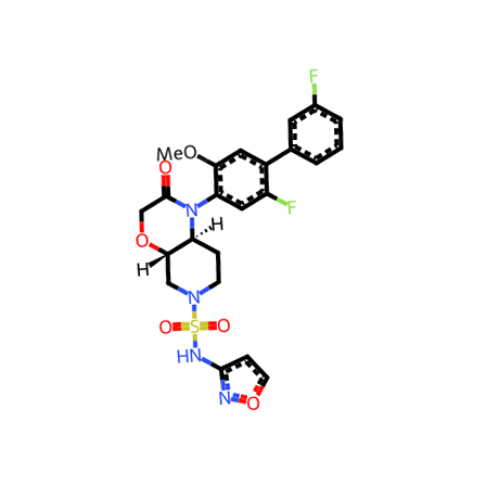 COc1cc(-c2cccc(F)c2)c(F)cc1N1C(=O)CO[C@H]2CN(S(=O)(=O)Nc3ccon3)CC[C@@H]21